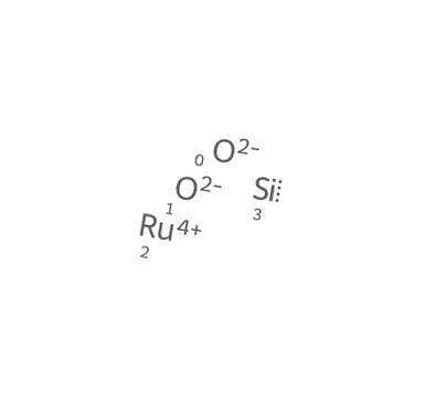 [O-2].[O-2].[Ru+4].[Si]